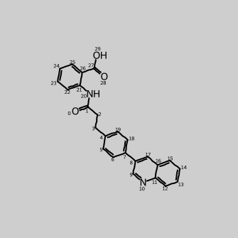 O=C(CCc1ccc(-c2cnc3ccccc3c2)cc1)Nc1ccccc1C(=O)O